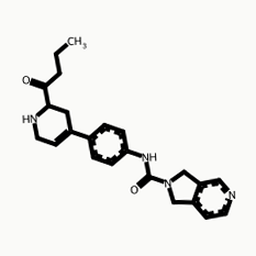 CCCC(=O)C1CC(c2ccc(NC(=O)N3Cc4ccncc4C3)cc2)=CCN1